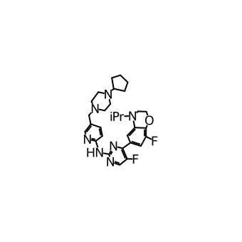 CC(C)N1CCOc2c(F)cc(-c3nc(Nc4ccc(CN5CCN(C6CCCC6)CC5)cn4)ncc3F)cc21